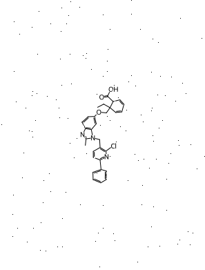 CCC1(COc2ccc3nc(C)n(Cc4ccc(-c5ccccc5)nc4Cl)c3c2)C=CC=CC1C(=O)O